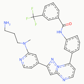 CN(CCCN)c1cc(-c2cc3nccc(-c4cccc(NC(=O)c5cccc(C(F)(F)F)c5)c4)n3n2)ccn1